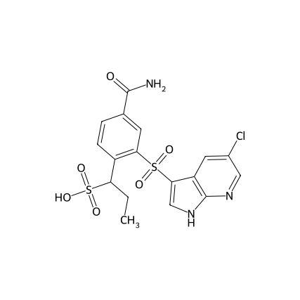 CCC(c1ccc(C(N)=O)cc1S(=O)(=O)c1c[nH]c2ncc(Cl)cc12)S(=O)(=O)O